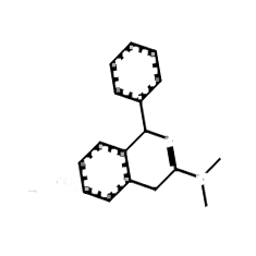 CN(C)C1=NC(c2ccccc2)c2ccccc2C1.Cl.O